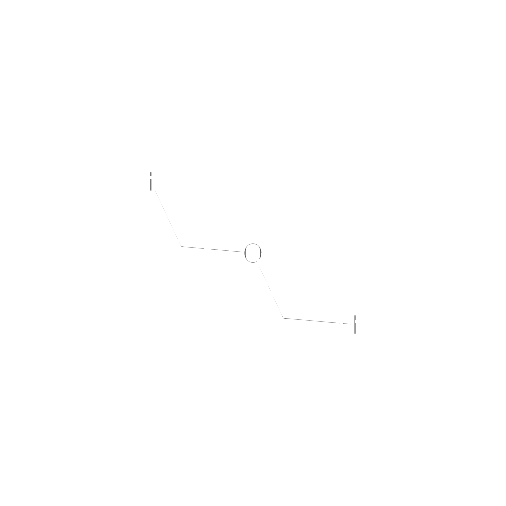 ICOCI